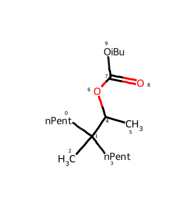 CCCCCC(C)(CCCCC)C(C)OC(=O)OCC(C)C